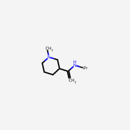 C=C(NC(C)C)C1CCCN(C)C1